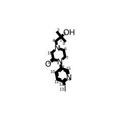 CC(C)(O)CN1CCN(c2ccc(I)nc2)C(=O)C1